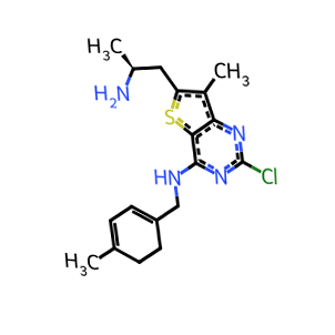 CC1=CC=C(CNc2nc(Cl)nc3c(C)c(C[C@H](C)N)sc23)CC1